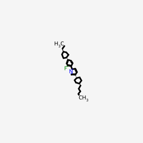 CCCCC[C@H]1CC[C@H](c2ccc(-c3ccc([C@H]4CC[C@H](CCC)CC4)cc3F)nc2)CC1